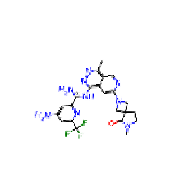 Cc1nnc(N[C@H](N)c2cc(N)cc(C(F)(F)F)n2)c2cc(N3CC4(CCN(C)C4=O)C3)ncc12